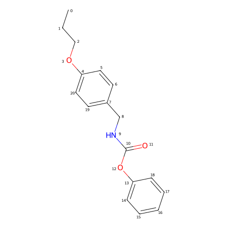 CCCOc1ccc(CNC(=O)Oc2ccccc2)cc1